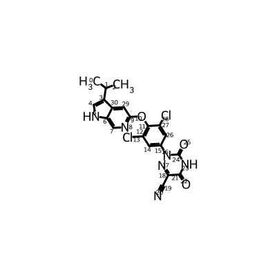 CC(C)c1c[nH]c2cnc(Oc3c(Cl)cc(-n4nc(C#N)c(=O)[nH]c4=O)cc3Cl)cc12